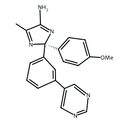 COc1ccc([C@]2(c3cccc(-c4cncnc4)c3)N=C(C)C(N)=N2)cc1